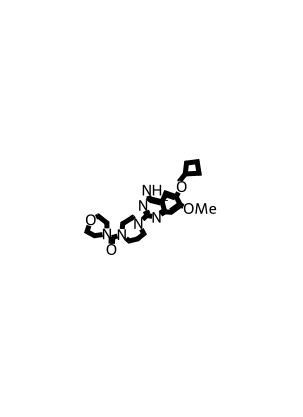 COc1cc2nc(N3CCCN(C(=O)N4CCOCC4)CC3)nc(N)c2cc1OCC1CCC1